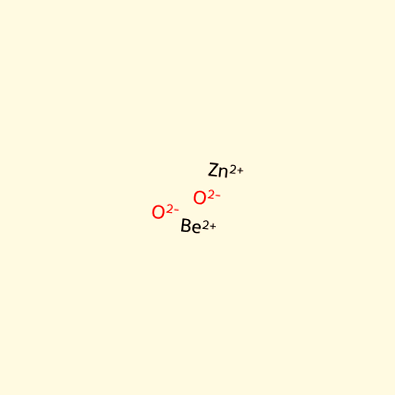 [Be+2].[O-2].[O-2].[Zn+2]